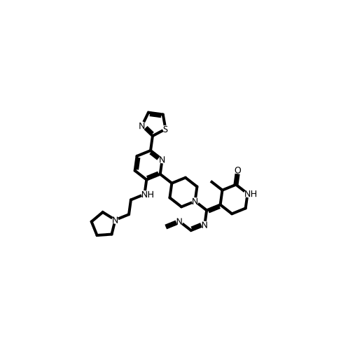 C=N/C=N\C(=C1/CCNC(=O)C1C)N1CCC(c2nc(-c3nccs3)ccc2NCCN2CCCC2)CC1